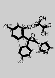 Clc1ccc(C2(c3ccc(Cl)cc3Cl)OC2n2ccnc2)cc1.O=C(O)C(=O)O